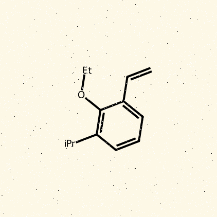 C=[C]c1cccc(C(C)C)c1OCC